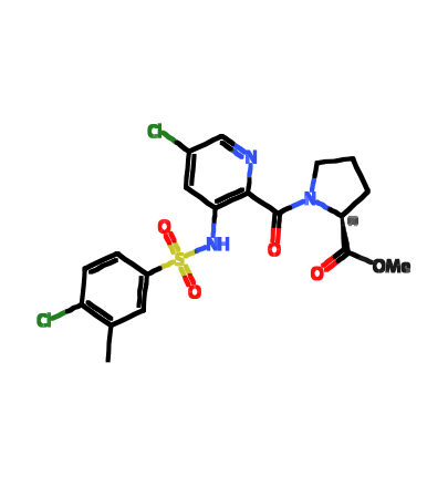 COC(=O)[C@@H]1CCCN1C(=O)c1ncc(Cl)cc1NS(=O)(=O)c1ccc(Cl)c(C)c1